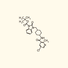 Cc1ncc(Cl)cc1C(=O)NC1CCC(Cn2c(=O)n(C(=O)OC(C)(C)C)c3ccccc32)CC1